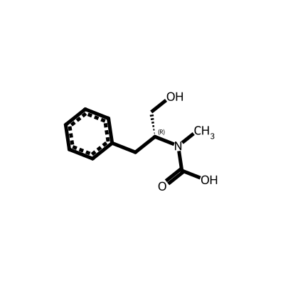 CN(C(=O)O)[C@@H](CO)Cc1ccccc1